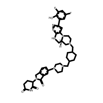 O=C1CCC(N2Cc3ccc(N4CCN(CC5CCC(CN6CCN7c8cc(-c9cc(F)cc(F)c9O)nnc8NC[C@H]7C6)CC5)CC4)cc3C2=O)C(=O)N1